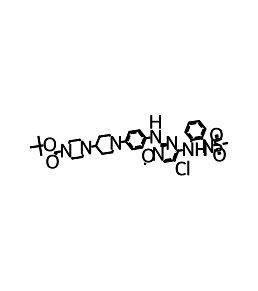 COc1cc(N2CCC(N3CCN(C(=O)OC(C)(C)C)CC3)CC2)ccc1Nc1ncc(Cl)c(Nc2ccccc2N(C)S(C)(=O)=O)n1